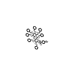 O=S(=O)(C[C@@H]1OC(COCc2ccccc2)[C@@H](O[C@@H]2OC(COCc3ccccc3)[C@@H](OCc3ccccc3)[C@@H](OCc3ccccc3)C2OCc2ccccc2)[C@@H](OCc2ccccc2)C1OCc1ccccc1)c1ccc(Br)cc1